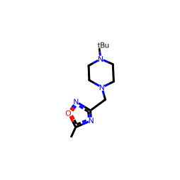 Cc1nc(CN2CCN(C(C)(C)C)CC2)no1